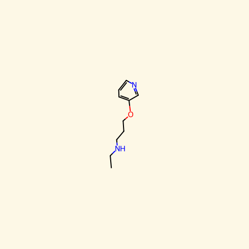 CCNCCCOc1cccnc1